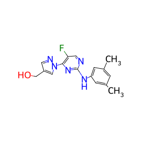 Cc1cc(C)cc(Nc2ncc(F)c(-n3cc(CO)cn3)n2)c1